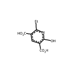 CCc1nc(O)c(C(=O)O)cc1C(=O)O